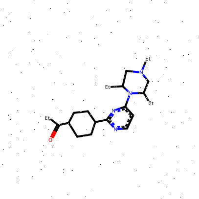 CCC(=O)C1CCC(c2nccc(N3C(CC)CN(CC)CC3CC)n2)CC1